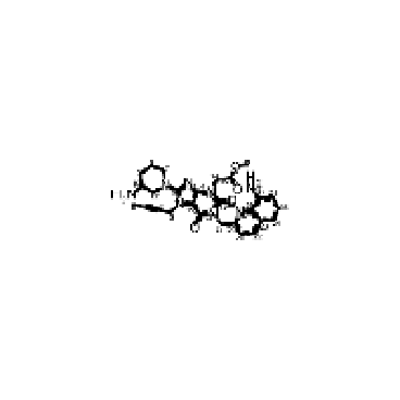 CC#CCn1c(N2CCCC(N)C2)nc2c1c(=O)n(Cc1ccc3cccc(N)c3n1)c(=O)n2CC(=O)OC